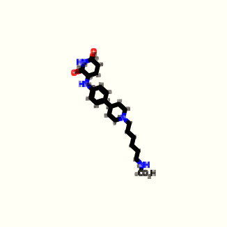 O=C(O)NCCCCCCN1CCC(c2ccc(NC3CCC(=O)NC3=O)cc2)CC1